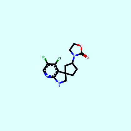 O=C1OCCN1C1CCC2(CNc3ncc(Br)c(Cl)c32)C1